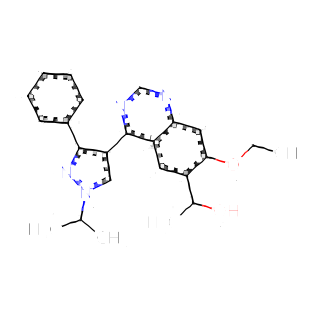 CCOc1cc2ncnc(-c3cn(C(C)C)nc3-c3ccccc3)c2cc1C(C)O